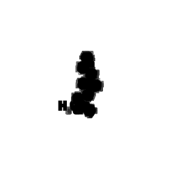 CC1(C)c2cc3ccccc3cc2-c2c(-c3cccc(-c4c5ccccc5c(-c5cccc(-c6cccc7c6oc6ccccc67)c5)c5ccccc45)c3)cccc21